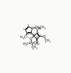 COC1=C(OC)C(O[Si](C)(C)C)(c2c(C)ccn2C)C1=O